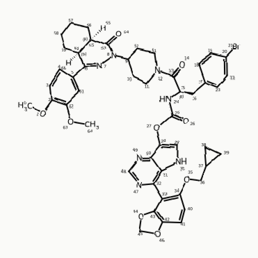 COc1ccc(C2=NN(C3CCN(C(=O)[C@@H](Cc4ccc(Br)cc4)NC(=O)Oc4c[nH]c5c(-c6c(OCC7CC7)ccc7c6OCO7)ncnc45)CC3)C(=O)[C@@H]3CCCC[C@H]23)cc1OC